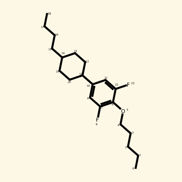 CCCCCOc1c(F)cc(C2CCC(CCCC)CC2)cc1F